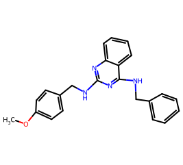 COc1ccc(CNc2nc(NCc3ccccc3)c3ccccc3n2)cc1